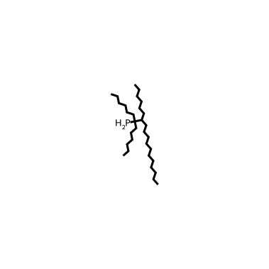 CCCCCCCCCCCC(CCCCCC)C(P)(CCCCCC)CCCCCC